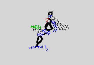 Cl.Cl.Cn1c(CNc2ccc(C(=N)N)cc2)nc2cc(C(C)(NCC(=O)O)C(=O)N3CCCC3)ccc21